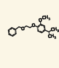 COc1cc(C(C)C)ccc1OCCOCc1ccccc1